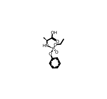 CCO[P@@](=O)(N[C@@H](C)C(=O)O)Oc1ccccc1